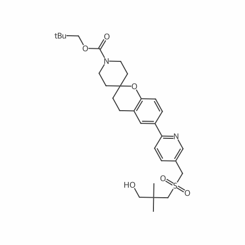 CC(C)(C)COC(=O)N1CCC2(CCc3cc(-c4ccc(CS(=O)(=O)CC(C)(C)CO)cn4)ccc3O2)CC1